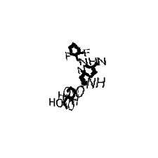 N#Cc1cc2[nH]c(O[C@@H]3CO[C@H]4[C@@H]3OC[C@H]4O)cc2nc1NCc1c(F)cccc1F